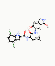 COC(=O)C(C[C@@H]1CCNC1=O)NC(=O)C(CC1CC1)NC(=O)c1cc2c(Cl)ccc(Cl)c2[nH]1